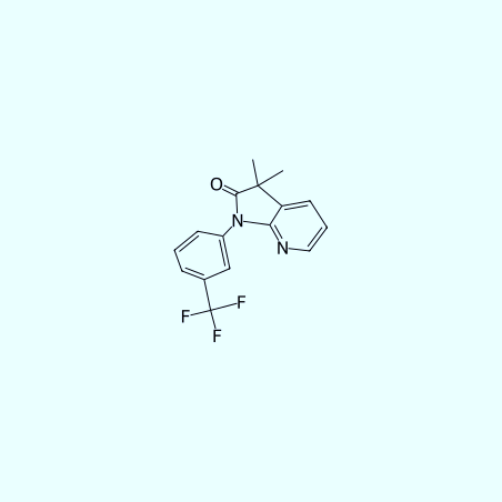 CC1(C)C(=O)N(c2cccc(C(F)(F)F)c2)c2ncccc21